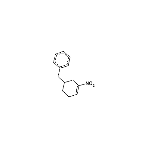 O=[N+]([O-])C1=CCCC(Cc2ccccc2)C1